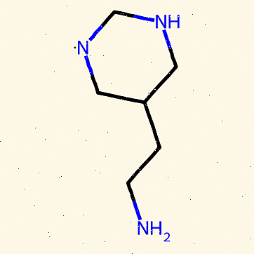 NCCC1C[N]CNC1